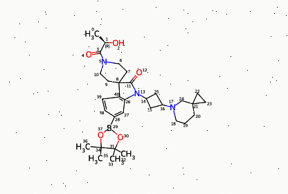 C[C@@H](O)C(=O)N1CCC2(CC1)C(=O)N(C1CC(N3CCCC4(CC4)C3)C1)c1cc(B3OC(C)(C)C(C)(C)O3)ccc12